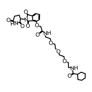 O=C(COc1cccc2c1C(=O)N(C1CCC(=O)NC1=O)C2=O)NCCOCCOCCOCCNC(=O)C1CCCCC1